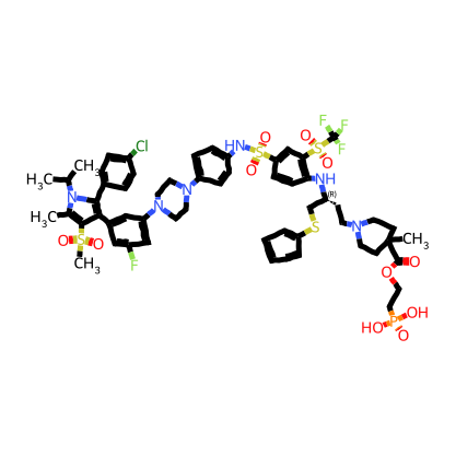 Cc1c(S(C)(=O)=O)c(-c2cc(F)cc(N3CCN(c4ccc(NS(=O)(=O)c5ccc(N[C@H](CCN6CCC(C)(C(=O)OCCP(=O)(O)O)CC6)CSc6ccccc6)c(S(=O)(=O)C(F)(F)F)c5)cc4)CC3)c2)c(-c2ccc(Cl)cc2)n1C(C)C